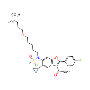 CNC(=O)c1c(-c2ccc(F)cc2)oc2cc(N(CCCCCOCCC[C@H](C)C(=O)O)S(C)(=O)=O)c(C3CC3)cc12